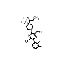 CCC(N)C1(C)CCN(c2nc(C)c(-c3cccc(Cl)c3Cl)nc2CO)CC1